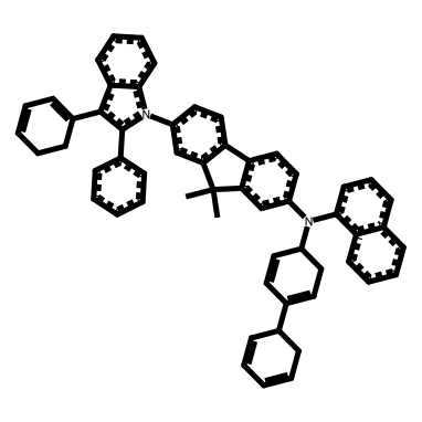 CC1(C)c2cc(N(c3cccc4ccccc34)C3C=CC(C4C=CC=CC4)=CC3)ccc2-c2ccc(-n3c(-c4ccccc4)c(C4=CC=CCC4)c4ccccc43)cc21